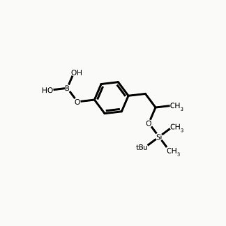 CC(Cc1ccc(OB(O)O)cc1)O[Si](C)(C)C(C)(C)C